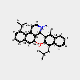 Cc1c2c(c(CC(C)C)c3ccccc13)Oc1cc3cccc(C(C)C)c3c3cc[n+](C)c-2c13